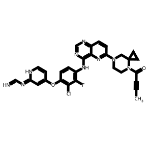 CC#CC(=O)N1CCN(c2ccc3ncnc(Nc4ccc(Oc5cc[nH]/c(=N\C=N)c5)c(Cl)c4F)c3n2)CC12CC2